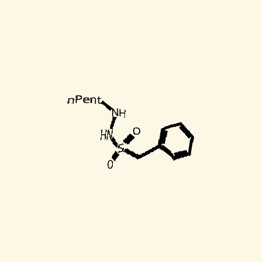 CCCCCNNS(=O)(=O)Cc1ccccc1